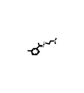 C/C(=N\OCCN(C)C)c1cccc(C)c1